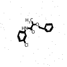 CC(OCc1ccccc1)C(=O)Nc1cccc(Cl)c1